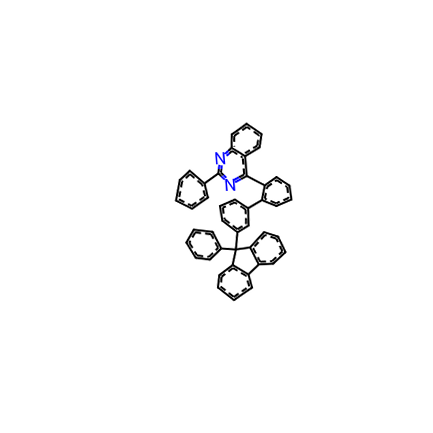 c1ccc(-c2nc(-c3ccccc3-c3cccc(C4(c5ccccc5)c5ccccc5-c5ccccc54)c3)c3ccccc3n2)cc1